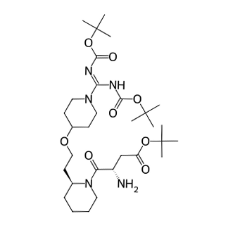 CC(C)(C)OC(=O)C[C@H](N)C(=O)N1CCCC[C@H]1CCOC1CCN(C(=NC(=O)OC(C)(C)C)NC(=O)OC(C)(C)C)CC1